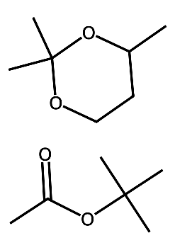 CC(=O)OC(C)(C)C.CC1CCOC(C)(C)O1